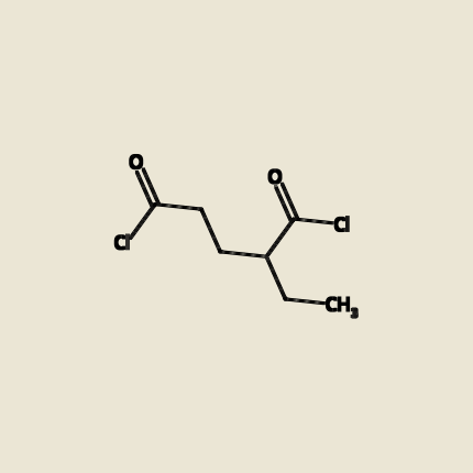 CCC(CCC(=O)Cl)C(=O)Cl